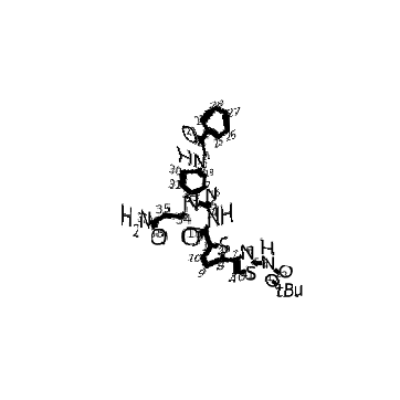 CC(C)(C)OC(=O)Nc1nc(-c2ccc(C(=O)Nc3nc4cc(NCC(=O)c5ccccc5)ccc4n3CCC(N)=O)s2)cs1